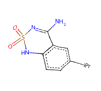 CC(C)c1ccc2c(c1)C(N)=NS(=O)(=O)N2